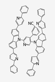 N#Cc1cccc(-c2cc(-n3c4cc(-c5ccc(-c6ccccc6)nc5)ccc4c4ccc(-c5ccc(-c6ccccc6)nc5)cc43)ncc2-n2c3cc(-c4ccc(-c5ccccc5)nc4)ccc3c3ccc(-c4ccc(-c5ccccc5)nc4)cc32)c1